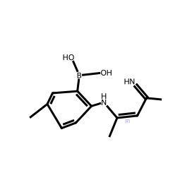 CC(=N)/C=C(/C)Nc1ccc(C)cc1B(O)O